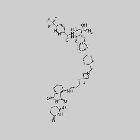 CC(C)(O)c1cc2nc([C@H]3CC[C@H](CN4CC5(CC(CCNc6cccc7c6C(=O)N(C6CCC(=O)NC6=O)C7=O)C5)C4)CC3)sc2cc1NC(=O)c1ccc(C(F)(F)F)nn1